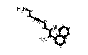 CC(c1cccc2ccccc12)C(N)/C=C/C#CCCN